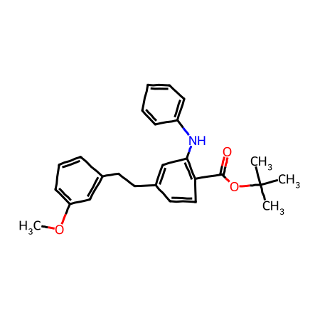 COc1cccc(CCc2ccc(C(=O)OC(C)(C)C)c(Nc3ccccc3)c2)c1